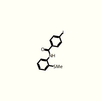 CSc1ccccc1NC(=O)c1ccc(I)cc1